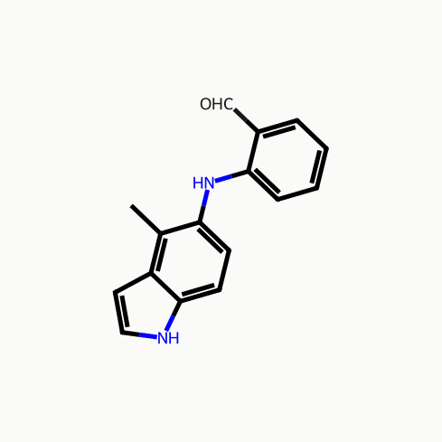 Cc1c(Nc2ccccc2C=O)ccc2[nH]ccc12